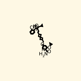 NC(=O)c1ncc(OCC2CC3(CC(C=Cc4c(-c5ccccc5C(F)(F)F)noc4C4CC4)C3)C2)cc1OC1CC1